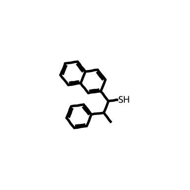 CC(c1ccccc1)C(S)c1ccc2ccccc2c1